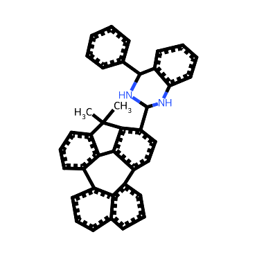 CC1(C)c2cccc3c2-c2c(ccc(C4Nc5ccccc5C(c5ccccc5)N4)c21)-c1cccc2cccc-3c12